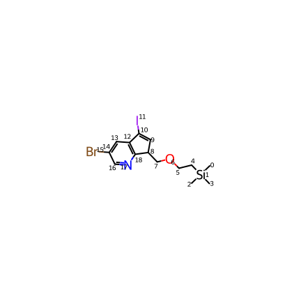 C[Si](C)(C)CCOCC1C=C(I)c2cc(Br)cnc21